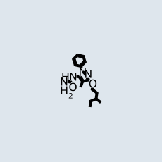 CCC(C)CCOc1nn(-c2ccccc2)c(NC(N)=O)c1C